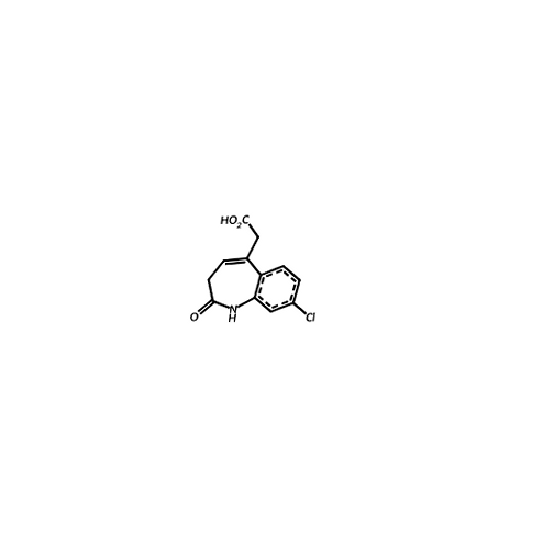 O=C(O)CC1=CCC(=O)Nc2cc(Cl)ccc21